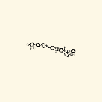 O=C1CCC(c2ccc(N3CCN(CCC4CCN(NC(=O)c5ccc(Nc6ncc(F)c(Nc7ccccc7Cl)n6)cc5)CC4)CC3)cc2)C(=O)N1